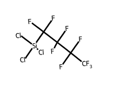 FC(F)(F)C(F)(F)C(F)(F)C(F)(F)[Si](Cl)(Cl)Cl